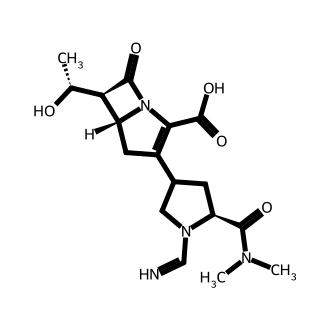 C[C@@H](O)[C@H]1C(=O)N2C(C(=O)O)=C(C3C[C@@H](C(=O)N(C)C)N(C=N)C3)C[C@H]12